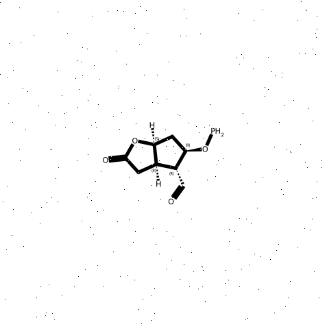 O=C[C@@H]1[C@H]2CC(=O)O[C@H]2C[C@H]1OP